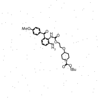 COc1ccc(C(=O)c2cccc(N)c2NC(=O)OCCOC2CCN(C(=O)OC(C)(C)C)CC2)cc1